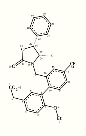 CCOc1ccc(CC(=O)O)cc1-c1ccc(C(F)(F)F)cc1CN1C(=O)O[C@H](c2ccccc2)[C@@H]1C